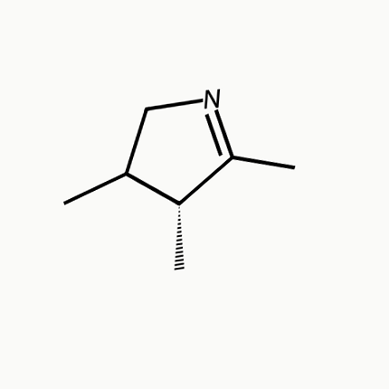 CC1=NCC(C)[C@H]1C